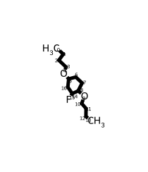 CCCCOC1CCC(OCCCC)C(F)C1